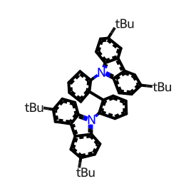 CC(C)(C)c1ccc2c(c1)c1cc(C(C)(C)C)ccc1n2-c1ccccc1-c1ccccc1-n1c2ccc(C(C)(C)C)cc2c2cc(C(C)(C)C)ccc21